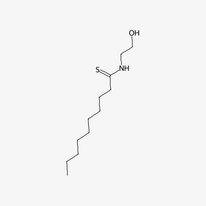 CCCCCCCCCC(=S)NCCO